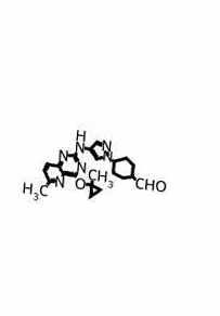 Cc1ccc2nc(Nc3cnn(C4CCC(C=O)CC4)c3)nc(OC3(C)CC3)c2n1